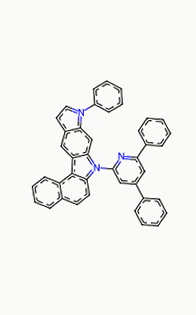 c1ccc(-c2cc(-c3ccccc3)nc(-n3c4cc5c(ccn5-c5ccccc5)cc4c4c5ccccc5ccc43)c2)cc1